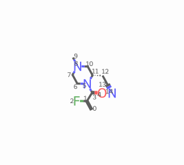 C=C(F)C(=O)N1CCN(C)C[C@@H]1CC#N